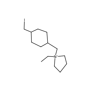 CC[N+]1(CC2CCC(CI)CC2)CCCC1